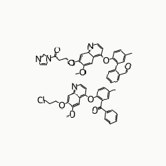 COc1cc2c(Oc3ccc(C)cc3-c3ccccc3C=O)ccnc2cc1OCCC(=O)n1ccnc1.COc1cc2c(Oc3ccc(C)cc3C(=O)c3ccccc3)ccnc2cc1OCCCl